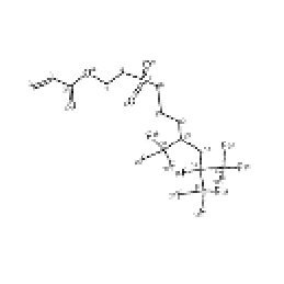 C=CC(=O)OCCS(=O)(=O)CCCC(CC(F)(C(F)(F)F)C(F)(F)F)C(F)(F)F